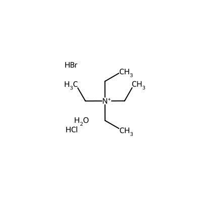 Br.CC[N+](CC)(CC)CC.Cl.O